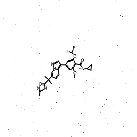 COc1cc(-c2cnn3cc(C(C)(C)c4nc(C)no4)ccc23)cc(OC(F)F)c1C(=O)NC1CC1